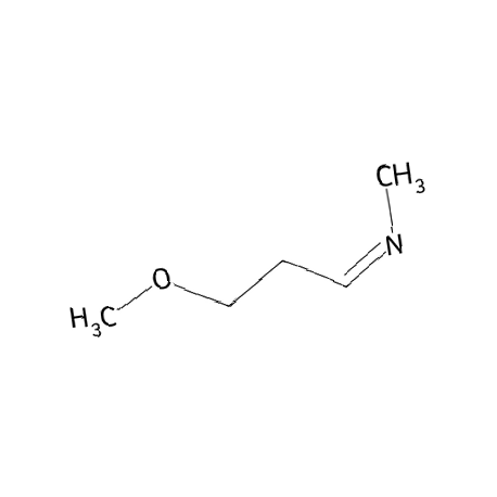 C/N=C\CCOC